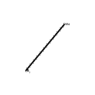 C=CC(=O)OCCOCCOCCOCCOCCOCCOCCOCCOCCOCCOCCOCCOCCOCCOCCOCCOCCOCCOCCOCCOCCOCCOC